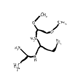 CCC(NC(C)N)[SiH2]C(OC)OC